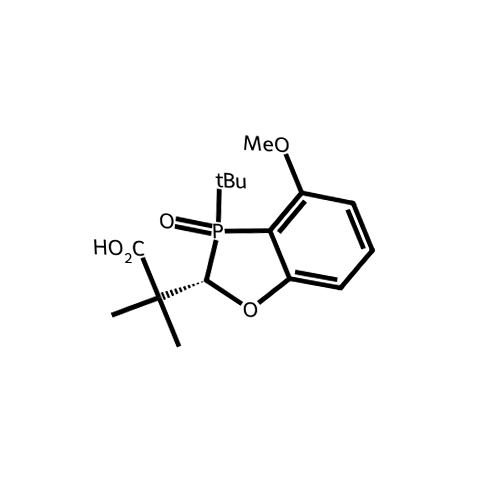 COc1cccc2c1P(=O)(C(C)(C)C)[C@@H](C(C)(C)C(=O)O)O2